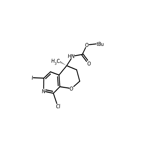 CC(C)(C)OC(=O)N[C@@]1(C)CCOc2c1cc(I)nc2Cl